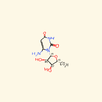 Nc1cc(=O)[nH]c(=O)n1[C@@H]1O[C@H](C(=O)O)[C@@H](O)[C@H]1O